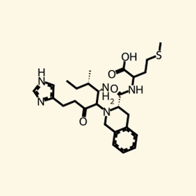 CC[C@H](C)[C@H](N)C(C(=O)CCc1c[nH]cn1)N1Cc2ccccc2C[C@H]1C(=O)NC(CCSC)C(=O)O